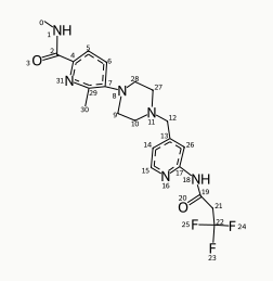 CNC(=O)c1ccc(N2CCN(Cc3ccnc(NC(=O)CC(F)(F)F)c3)CC2)c(C)n1